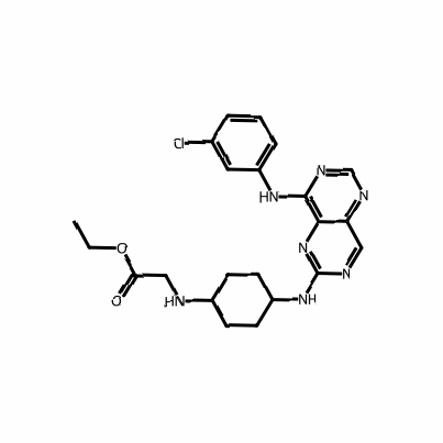 CCOC(=O)CNC1CCC(Nc2ncc3ncnc(Nc4cccc(Cl)c4)c3n2)CC1